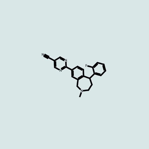 CN1CCC(c2ccccc2F)c2ccc(-c3ncc(C#N)cn3)cc2C1